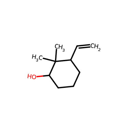 C=CC1CCCC(O)C1(C)C